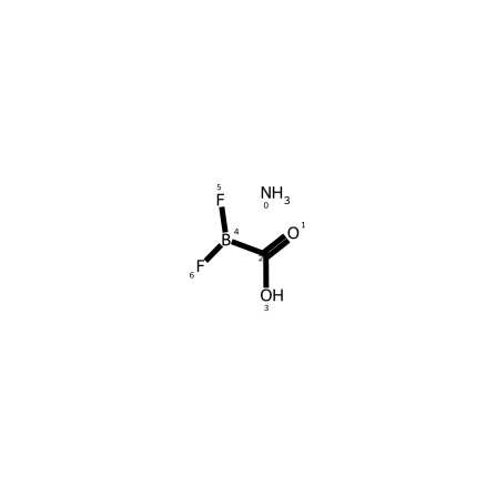 N.O=C(O)B(F)F